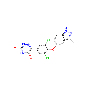 Cc1n[nH]c2ccc(Oc3c(Cl)cc(-c4n[nH]c(=O)[nH]c4=O)cc3Cl)cc12